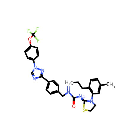 CCCc1ccc(C)cc1N1CCS/C1=N\C(=O)NCc1ccc(-c2ncn(-c3ccc(OC(F)(F)F)cc3)n2)cc1